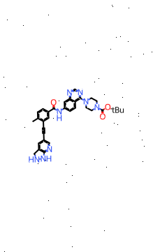 Cc1ccc(C(=O)Nc2ccc3c(N4CCN(C(=O)OC(C)(C)C)CC4)ncnc3c2)cc1C#Cc1cnc2c(c1)CNN2